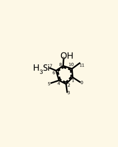 Cc1c(C)c(C)c([SiH3])c(O)c1C